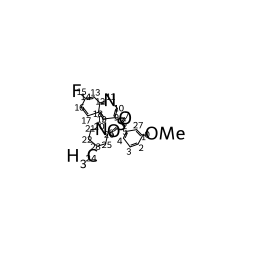 COc1cccc(S(=O)(=O)c2cnc3cc(F)ccc3c2N2CCC(C)CC2)c1